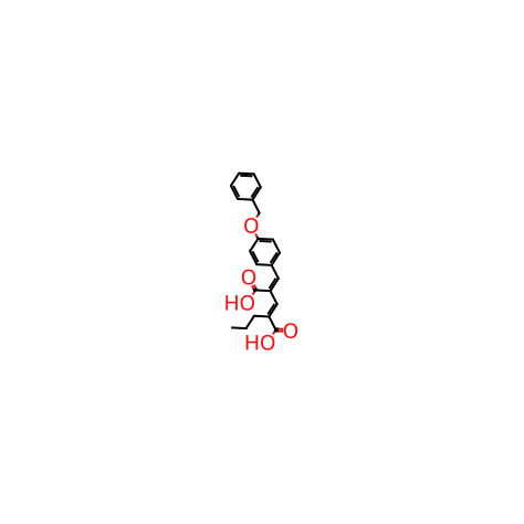 CCCC(=CC(=Cc1ccc(OCc2ccccc2)cc1)C(=O)O)C(=O)O